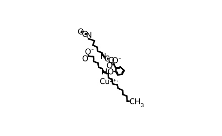 CCCCCCCCCCCCCCCCCC(=O)[O-].O=C([O-])c1ccccc1O.O=C=NCCCCCCN=C=O.[Cu+2]